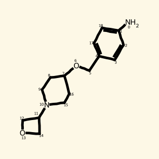 Nc1ccc(COC2CCN(C3COC3)CC2)cc1